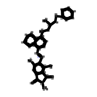 CN1C(=O)c2cc(C#N)c(/N=N/c3ccc(NCC(O)COc4ccccc4)c4ncccc34)c(Br)c2C1=O